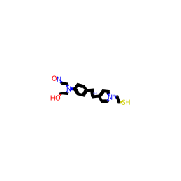 O=NCCN(CCO)c1ccc(/C=C/c2cc[n+](CCS)cc2)cc1